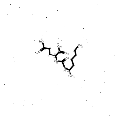 C[C@H](CCCCN)NC(=O)N[C@@H](CCC(=O)O)C(=O)O